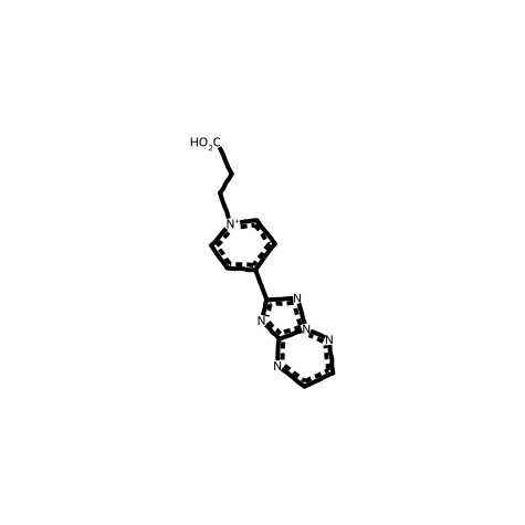 O=C(O)CC[n+]1ccc(-c2nc3nccnn3n2)cc1